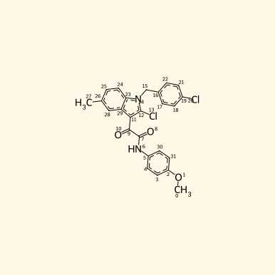 COc1ccc(NC(=O)C(=O)c2c(Cl)n(Cc3ccc(Cl)cc3)c3ccc(C)cc23)cc1